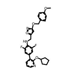 COc1ccc(COc2cc(CNc3c(F)cc(-c4cccnc4OC4CCCC4)cc3F)on2)cc1